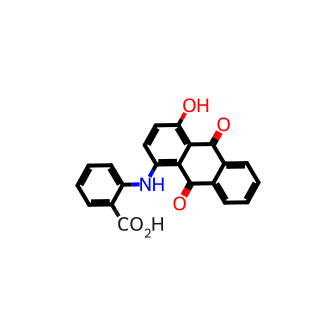 O=C(O)c1ccccc1Nc1ccc(O)c2c1C(=O)c1ccccc1C2=O